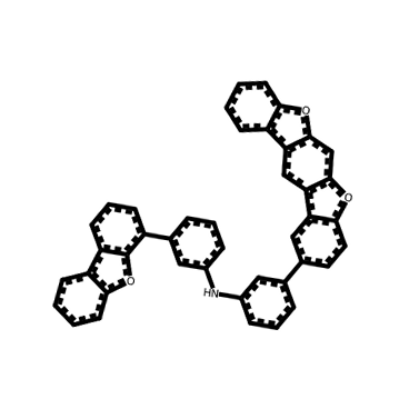 c1cc(Nc2cccc(-c3cccc4c3oc3ccccc34)c2)cc(-c2ccc3oc4cc5oc6ccccc6c5cc4c3c2)c1